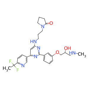 CNCC(O)COc1cccc(-c2nc(NCCCN3CCCC3=O)cc(-c3ccc(C(C)(F)F)nc3)n2)c1